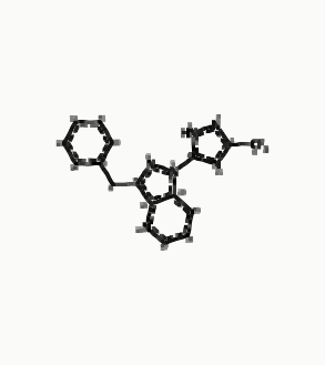 FC(F)(F)c1n[nH]c(-n2nc(Cc3ccccc3)c3ncccc32)n1